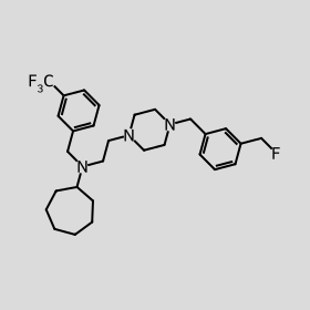 FCc1cccc(CN2CCN(CCN(Cc3cccc(C(F)(F)F)c3)C3CCCCCC3)CC2)c1